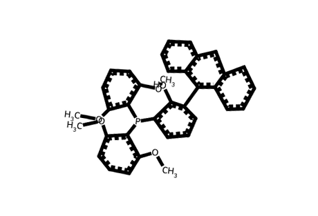 COc1cccc(OC)c1P(c1cccc(-c2c3ccccc3cc3ccccc23)c1O)c1c(OC)cccc1OC